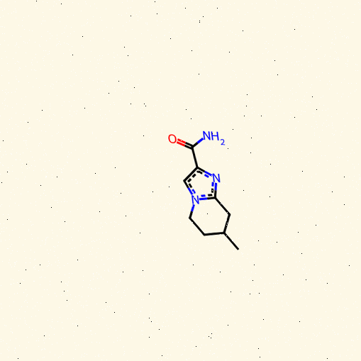 CC1CCn2cc(C(N)=O)nc2C1